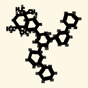 CC1(C)CCC(C)(C)c2cc(-c3nc(-c4cccc(-c5ccccc5)c4)nc(-c4cccc(-c5ccccc5)c4)n3)ccc21